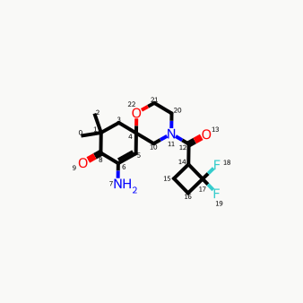 CC1(C)CC2(C=C(N)C1=O)CN(C(=O)C1CCC1(F)F)CCO2